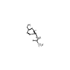 CC(Nc1ccc(CN)cc1)C(=O)O